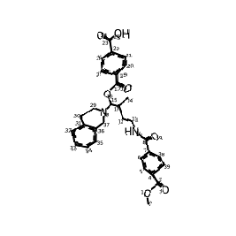 COC(=O)c1ccc(C(=O)NCCC(C)C(OC(=O)c2ccc(C(=O)O)cc2)N2CCc3ccccc3C2)cc1